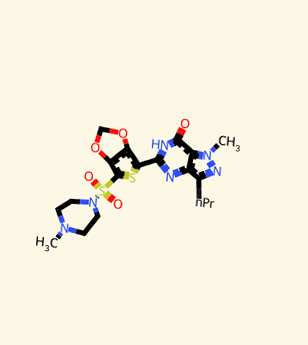 CCCc1nn(C)c2c(=O)[nH]c(-c3sc(S(=O)(=O)N4CCN(C)CC4)c4c3OCO4)nc12